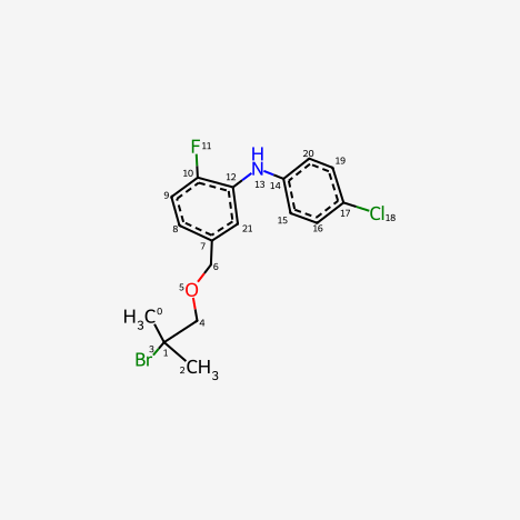 CC(C)(Br)COCc1ccc(F)c(Nc2ccc(Cl)cc2)c1